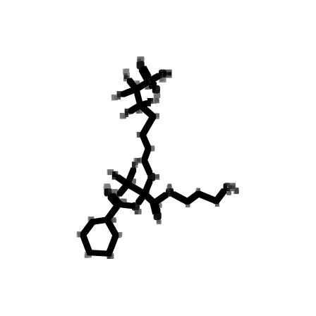 CCCCOC(=O)C(OCCCCC(F)(F)C(F)(F)S(=O)(=O)O)(OC(=O)C1CCCCC1)C(F)(F)F